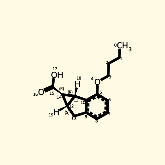 CCCCOc1cccc2c1[C@@H]1[C@H](C2)[C@H]1C(=O)O